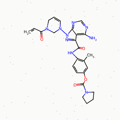 C=CC(=O)N1CC=CN(n2nc(C(=O)Nc3ccc(OC(=O)N4CCCC4)cc3C)c3c(N)ncnc32)C1